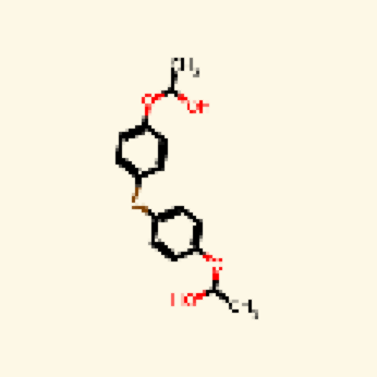 CC(O)Oc1ccc(Sc2ccc(OC(C)O)cc2)cc1